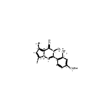 CCn1c(-c2ccc(OC)cc2C(F)(F)F)nn2c(C)cc(C(C)C)c2c1=O